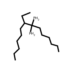 CCCCCCC(CC)C(P)(P)CCCCCC